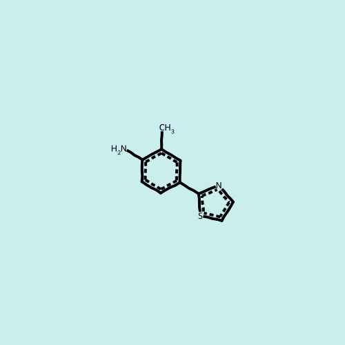 Cc1cc(-c2nccs2)ccc1N